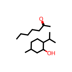 CC1CCC(C(C)C)C(O)C1.CCCCCC(C)=O